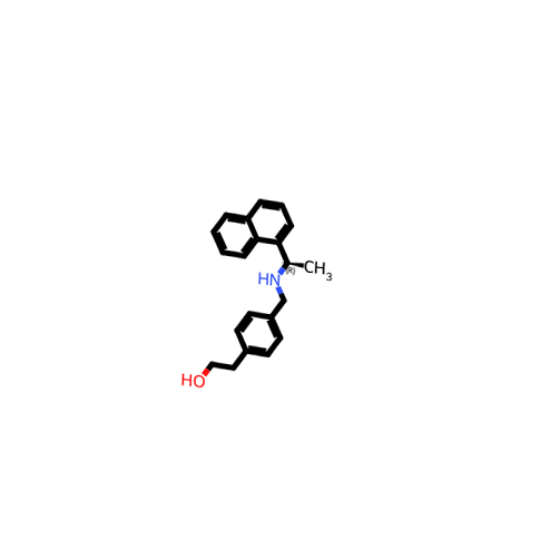 C[C@@H](NCc1ccc(CCO)cc1)c1cccc2ccccc12